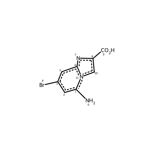 Nc1cc(Br)cc2nc(C(=O)O)cn12